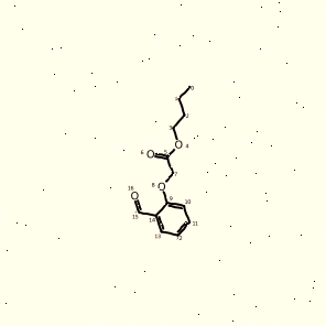 CCCCOC(=O)COc1ccccc1[C]=O